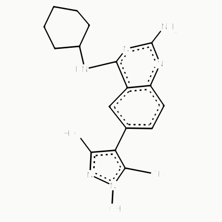 Cc1nn(C)c(C)c1-c1ccc2nc(N)nc(NC3CCCCC3)c2c1